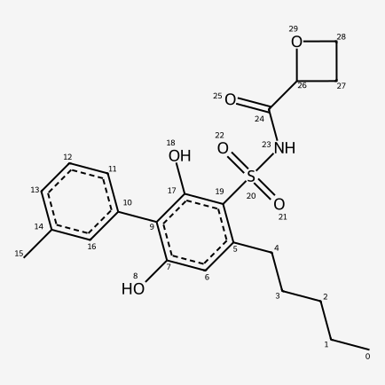 CCCCCc1cc(O)c(-c2cccc(C)c2)c(O)c1S(=O)(=O)NC(=O)C1CCO1